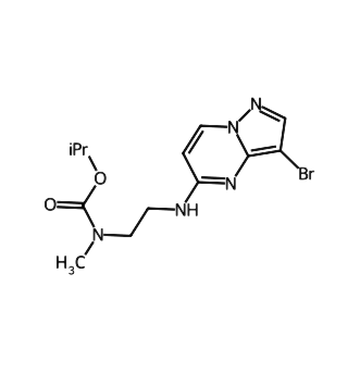 CC(C)OC(=O)N(C)CCNc1ccn2ncc(Br)c2n1